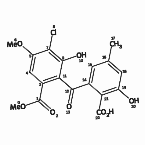 COC(=O)c1cc(OC)c(Cl)c(O)c1C(=O)c1cc(C)cc(O)c1C(=O)O